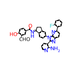 Nc1ncccc1-c1nc2ccc(-c3ccccc3F)nc2n1-c1ccc2c(c1)CC[C@@H]2NC(=O)c1ccc(O)c(C=O)c1